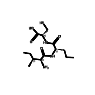 CCC[C@H](NC(=O)[C@@H](N)[C@@H](C)CC)C(=O)N[C@@H](CS)C(=O)O